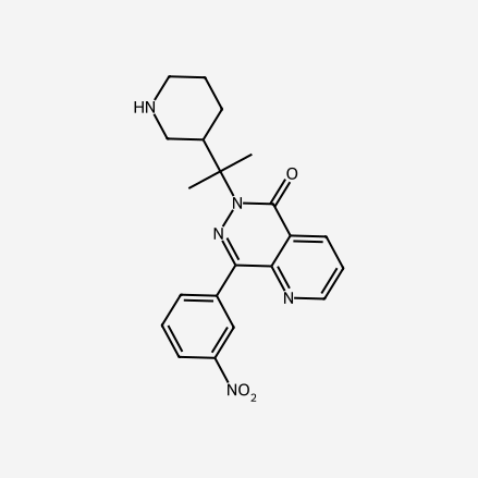 CC(C)(C1CCCNC1)n1nc(-c2cccc([N+](=O)[O-])c2)c2ncccc2c1=O